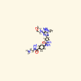 CC(C)n1nnc2c(N3CCOCC3)nc(-c3ccc(NC(=O)Nc4ccc(C(=O)NCCN(C)C)cc4)cc3)nc21